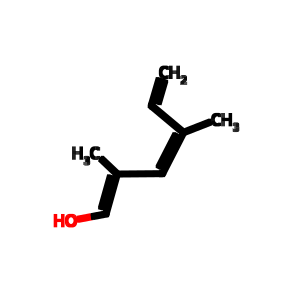 C=C/C(C)=C\C(C)=C\O